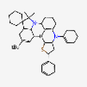 CC(C)(C)C1=CC2B3C4=C(CCCC4N4C2C(C1)C1(CCCCC1)C4(C)C)N(C1=CCCCC1)C1CC(c2ccccc2)SC31